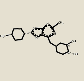 Cc1nc(CN2CC[C@@H](O)[C@H](O)C2)c2nc([C@H]3CC[C@H](C)CC3)sc2n1